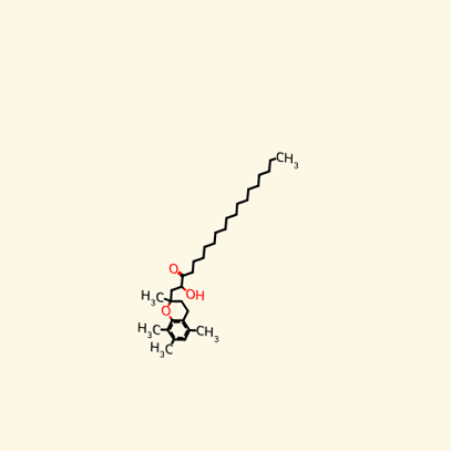 CCCCCCCCCCCCCCCCCC(=O)C(O)CC1(C)CCc2c(C)cc(C)c(C)c2O1